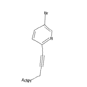 CC(=O)NCC#Cc1ccc(Br)cn1